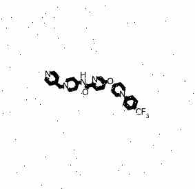 O=C(NC1CCN(Cc2ccncc2)CC1)c1ccc(OC2CCN(c3ccc(C(F)(F)F)cc3)CC2)cn1